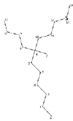 CCCCCCC(C)(CCCC)CCCSC